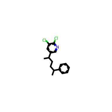 CC(CCC(C)c1cnc(Cl)c(Cl)c1)c1ccccc1